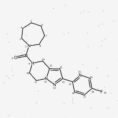 O=C(N1CCCCCC1)N1CCn2nc(-c3ccc(F)cn3)cc2C1